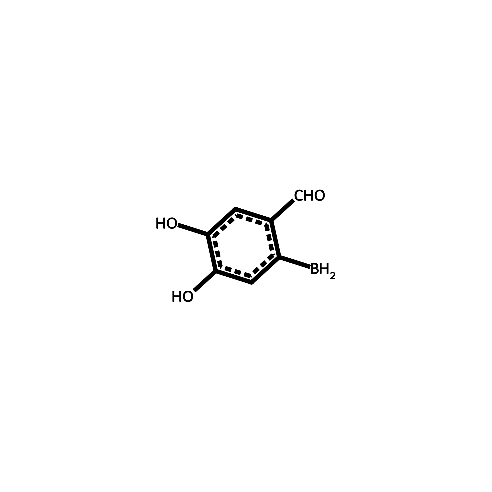 Bc1cc(O)c(O)cc1C=O